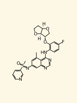 Cc1cc(N=S(C)(=O)c2cccnc2)cc2ncnc(Nc3ccc(F)cc3O[C@@H]3CO[C@@H]4CCO[C@@H]43)c12